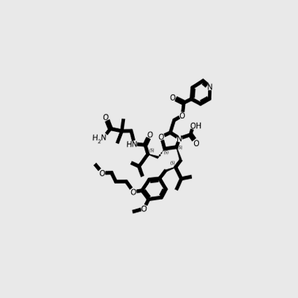 COCCCOc1cc(C[C@@H](C[C@H]2[C@H](C[C@H](C(=O)NCC(C)(C)C(N)=O)C(C)C)OC(COC(=O)c3ccncc3)N2C(=O)O)C(C)C)ccc1OC